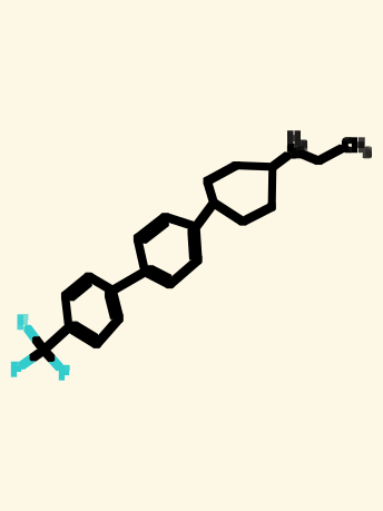 CC[SiH2]C1CCC(c2ccc(-c3ccc(C(F)(F)F)cc3)cc2)CC1